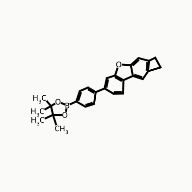 CC1(C)OB(c2ccc(-c3ccc4c(c3)oc3cc5c(cc34)CC5)cc2)OC1(C)C